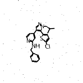 CC(C)Cn1ncc(-c2ccnc(NCc3ccccc3)c2)c1-c1ccc(Cl)s1